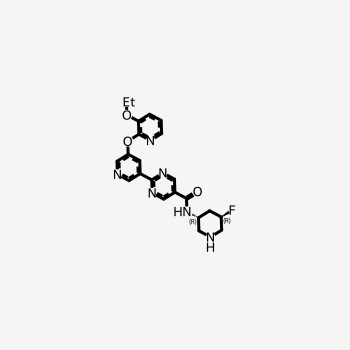 CCOc1cccnc1Oc1cncc(-c2ncc(C(=O)N[C@H]3CNC[C@H](F)C3)cn2)c1